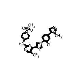 Cn1nncc1-c1ccc(-n2cnc(-c3nc(NC4CCN(S(C)(=O)=O)CC4)ncc3C(F)(F)F)c2)c(Cl)c1